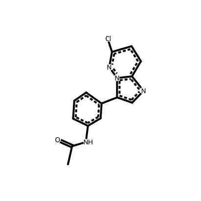 CC(=O)Nc1cccc(-c2cnc3ccc(Cl)nn23)c1